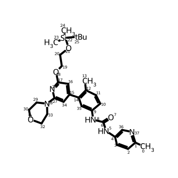 Cc1ccc(NC(=O)Nc2ccc(C)c(-c3cc(OCCO[Si](C)(C)C(C)(C)C)nc(N4CCOCC4)c3)c2)cn1